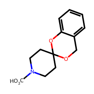 O=C(O)N1CCC2(CC1)OCc1ccccc1O2